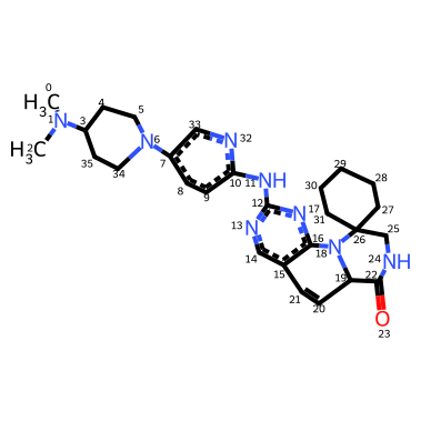 CN(C)C1CCN(c2ccc(Nc3ncc4c(n3)N3C(C=C4)C(=O)NCC34CCCCC4)nc2)CC1